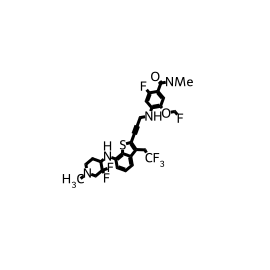 CNC(=O)c1cc(OCF)c(NCC#Cc2sc3c(NC4CCN(C)CC4(F)F)cccc3c2CC(F)(F)F)cc1F